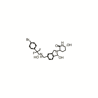 O=C1N[C@H](O)CCC1N1Cc2cc(CN[C@H](O)C(F)(F)c3ccc(Br)cc3)ccc2[C@@H]1O